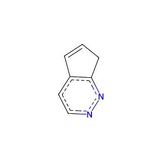 C1=Cc2ccnnc2C1